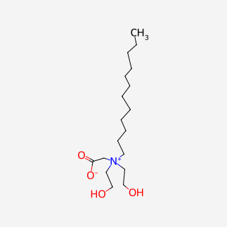 CCCCCCCCCCCC[N+](CCO)(CCO)CC(=O)[O-]